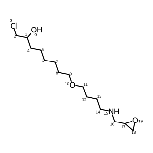 OC(CCl)CCCCCCOCCCCNCC1CO1